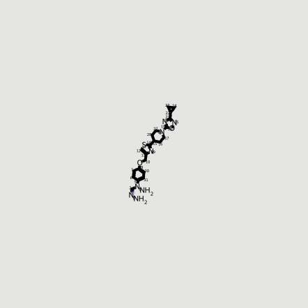 N/N=C\N(N)c1ccc(OCc2csc(C3CCN(c4nc(C5CC5)no4)CC3)n2)cc1